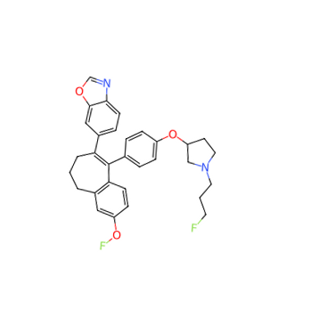 FCCCN1CCC(Oc2ccc(C3=C(c4ccc5ncoc5c4)CCCc4cc(OF)ccc43)cc2)C1